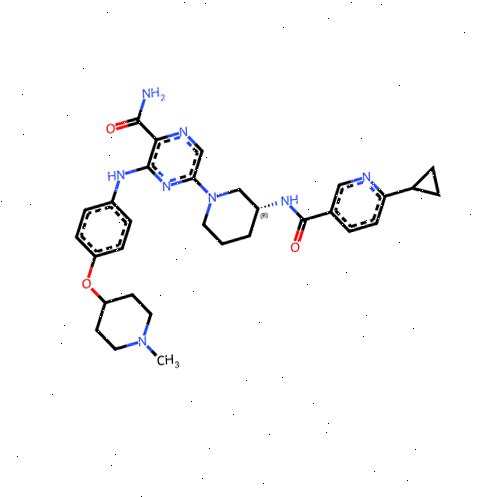 CN1CCC(Oc2ccc(Nc3nc(N4CCC[C@@H](NC(=O)c5ccc(C6CC6)nc5)C4)cnc3C(N)=O)cc2)CC1